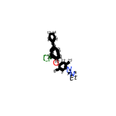 CCN(C)C=Nc1cc(C)c(Oc2ccc(C3CCCC3)cc2Cl)cc1C